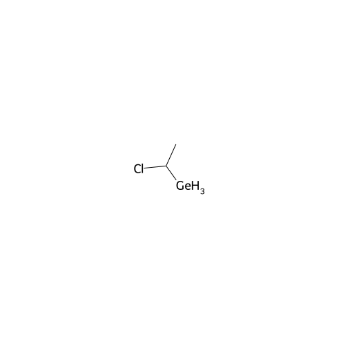 C[CH](Cl)[GeH3]